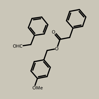 COc1ccc(COC(=O)Cc2ccccc2)cc1.O=CCc1ccccc1